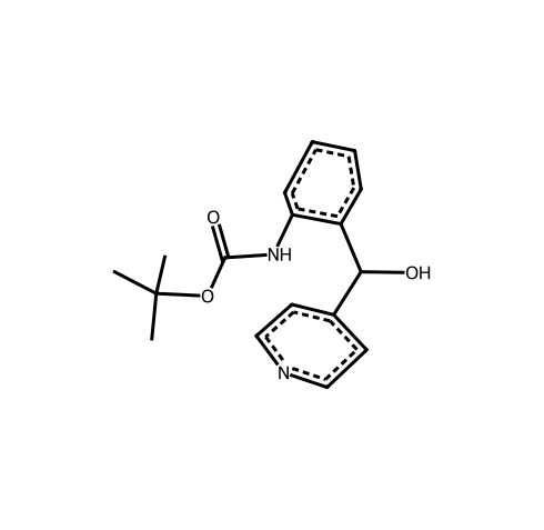 CC(C)(C)OC(=O)Nc1ccccc1C(O)c1ccncc1